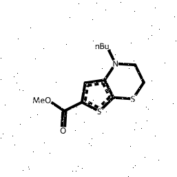 CCCCN1CCSc2sc(C(=O)OC)cc21